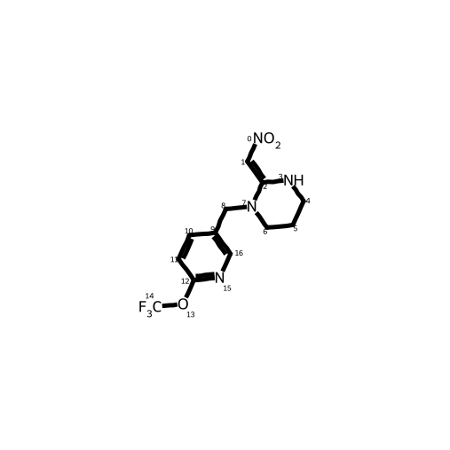 O=[N+]([O-])C=C1NCCCN1Cc1ccc(OC(F)(F)F)nc1